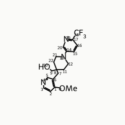 COc1ccncc1CC1(CO)CCN(c2ccc(C(F)(F)F)nc2)CC1